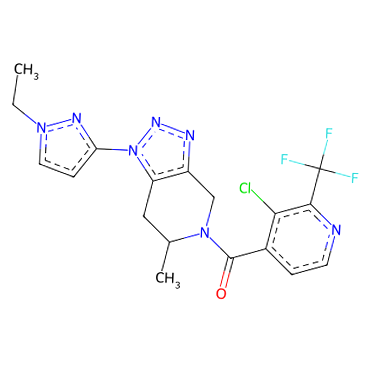 CCn1ccc(-n2nnc3c2CC(C)N(C(=O)c2ccnc(C(F)(F)F)c2Cl)C3)n1